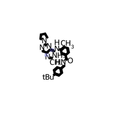 C=C/N=C1/C=NC(N2CCCC2)=N/C1=C(/N)Nc1cc(C(=O)NCc2ccc(C(C)(C)C)cc2)ccc1C